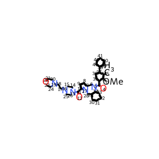 COc1c(C(=O)N2Cc3ccc(C(=O)N4CCN(CCN5CCOCC5)CC4)n3Cc3ccccc32)ccc(-c2ccccc2)c1C